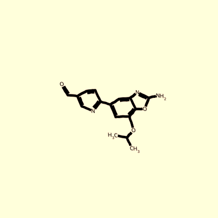 CC(C)Oc1cc(-c2ccc(C=O)cn2)cc2nc(N)oc12